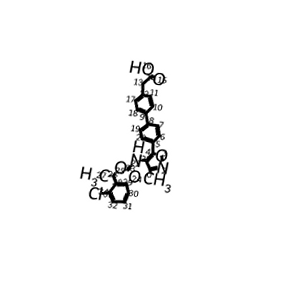 Cc1noc(-c2ccc(-c3ccc(CC(=O)O)cc3)cc2)c1NC(=O)O[C@@H](C)c1ccccc1Cl